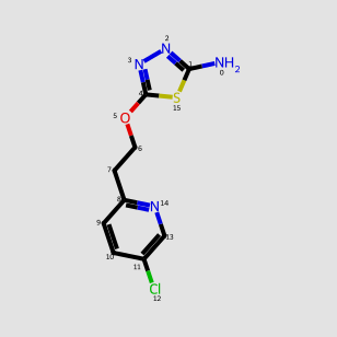 Nc1nnc(OCCc2ccc(Cl)cn2)s1